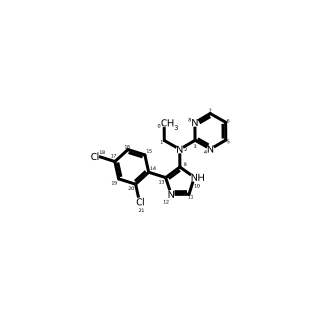 CCN(c1ncccn1)c1[nH]cnc1-c1ccc(Cl)cc1Cl